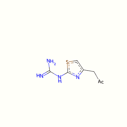 CC(=O)Cc1csc(NC(=N)N)n1